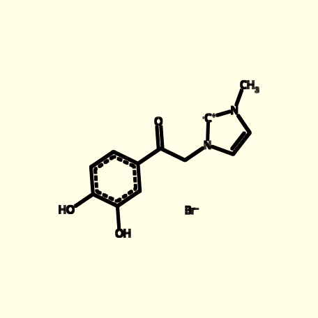 CN1[C+]N(CC(=O)c2ccc(O)c(O)c2)C=C1.[Br-]